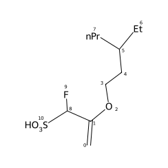 C=C(OCCC(CC)CCC)C(F)S(=O)(=O)O